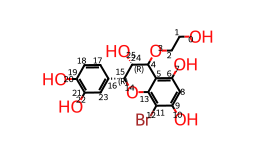 OCCOC1c2c(O)cc(O)c(Br)c2O[C@H](c2ccc(O)c(O)c2)[C@@H]1O